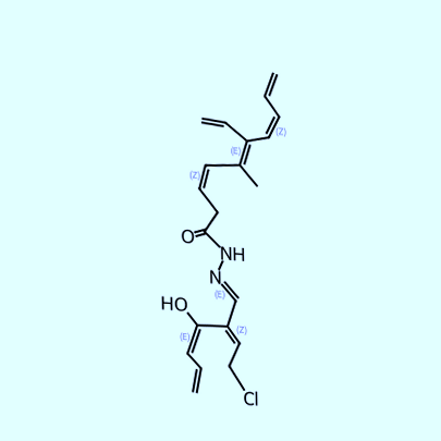 C=C\C=C/C(C=C)=C(C)/C=C\CC(=O)N/N=C/C(=C/CCl)C(/O)=C\C=C